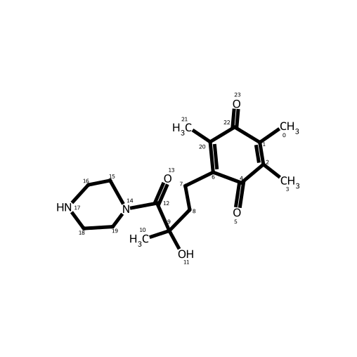 CC1=C(C)C(=O)C(CCC(C)(O)C(=O)N2CCNCC2)=C(C)C1=O